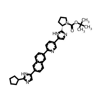 CC(C)(C)OC(=O)N1CCC[C@H]1c1ncc(-c2ccc(-c3ccc4cc(-c5cnc(C6CCCC6)[nH]5)ccc4c3)nc2)[nH]1